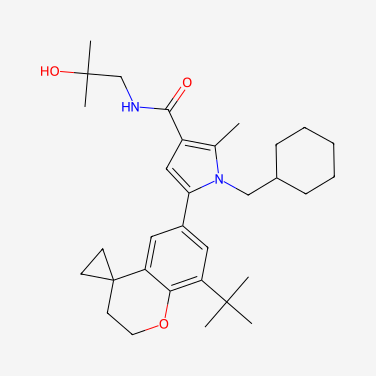 Cc1c(C(=O)NCC(C)(C)O)cc(-c2cc(C(C)(C)C)c3c(c2)C2(CCO3)CC2)n1CC1CCCCC1